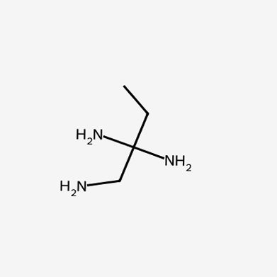 CCC(N)(N)CN